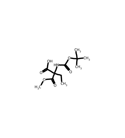 CCC(NC(=O)OC(C)(C)C)(C(=O)O)C(=O)OC